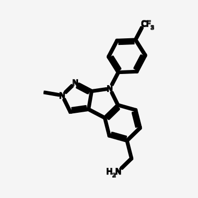 Cn1cc2c3cc(CN)ccc3n(-c3ccc(C(F)(F)F)cc3)c2n1